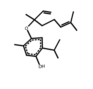 C=CC(C)(CCC=C(C)C)Oc1cc(C(C)C)c(O)cc1C